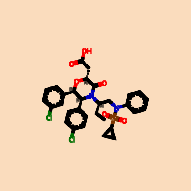 CC[C@H](CN(c1ccccc1)S(=O)(=O)C1CC1)N1C(=O)[C@@H](CC(=O)O)O[C@H](c2cccc(Cl)c2)[C@@H]1c1ccc(Cl)cc1